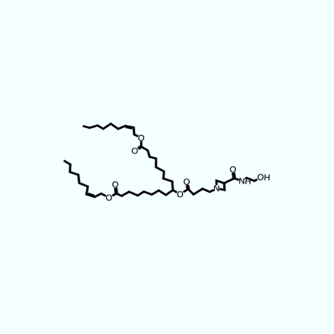 CCCCCC/C=C\COC(=O)CCCCCCCC(CCCCCCCC(=O)OC/C=C\CCCCCC)OC(=O)CCCN1CC(C(=O)NCCO)C1